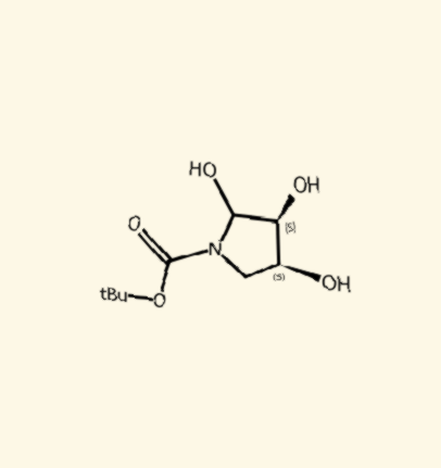 CC(C)(C)OC(=O)N1C[C@H](O)[C@H](O)C1O